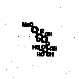 COc1ccc(-c2coc3cc(O[C@@H]4OC(CO)[C@@H](O)C(O)C4O)cc(O)c3c2=O)cc1